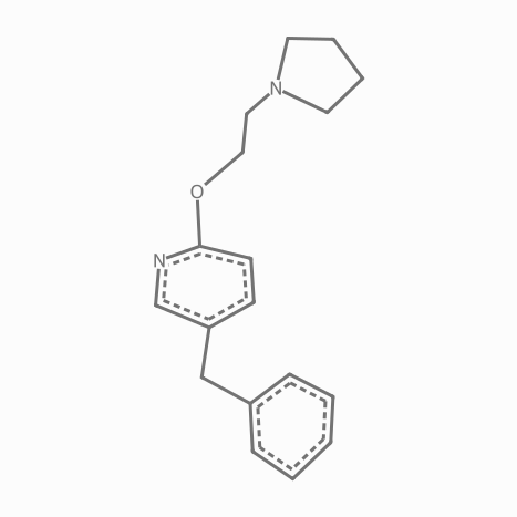 c1ccc(Cc2ccc(OCCN3CCCC3)nc2)cc1